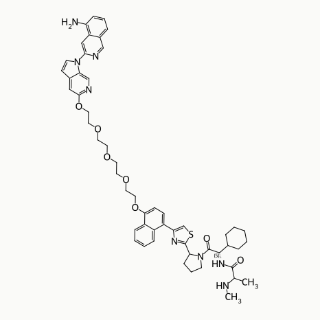 CNC(C)C(=O)N[C@H](C(=O)N1CCCC1c1nc(-c2ccc(OCCOCCOCCOCCOc3cc4ccn(-c5cc6c(N)cccc6cn5)c4cn3)c3ccccc23)cs1)C1CCCCC1